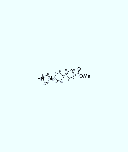 COC(=O)c1ccc(N2CCC(N3CCNCC3)CC2)cn1